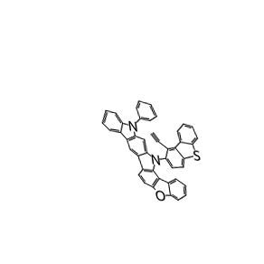 C#Cc1c(-n2c3cc4c(cc3c3ccc5oc6ccccc6c5c32)c2ccccc2n4-c2ccccc2)ccc2sc3ccccc3c12